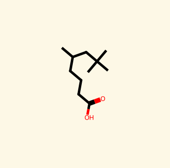 CC(CCCC(=O)O)CC(C)(C)C